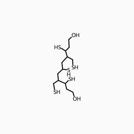 OCCC(S)C(CS)CC(S)CC(CS)C(S)CCO